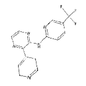 FC(F)(F)c1ccc(Nc2nccnc2C2=CCN=CC2)nc1